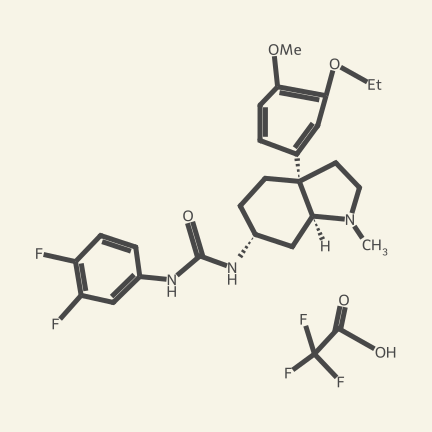 CCOc1cc([C@@]23CC[C@@H](NC(=O)Nc4ccc(F)c(F)c4)C[C@@H]2N(C)CC3)ccc1OC.O=C(O)C(F)(F)F